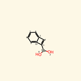 OB(O)C1=Cc2ccccc21